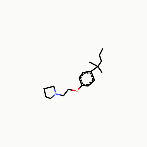 CCCC(C)(C)c1ccc(OCCN2CCCC2)cc1